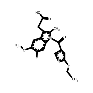 CCOc1cc(C(=O)n2c(C)c(CC(=O)O)c3cc(OC)c(F)cc32)cs1